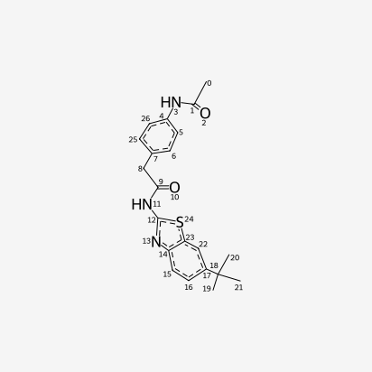 CC(=O)Nc1ccc(CC(=O)Nc2nc3ccc(C(C)(C)C)cc3s2)cc1